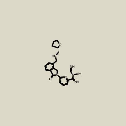 CC(C)N(C=N)C(=N)c1cccc(N2Cc3c(CNC[C@@H]4CCCO4)cccc3C2=O)n1